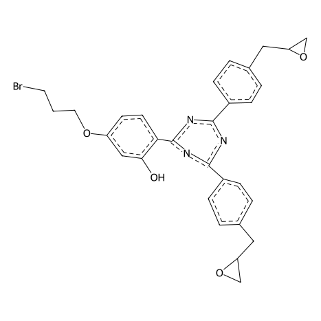 Oc1cc(OCCCBr)ccc1-c1nc(-c2ccc(CC3CO3)cc2)nc(-c2ccc(CC3CO3)cc2)n1